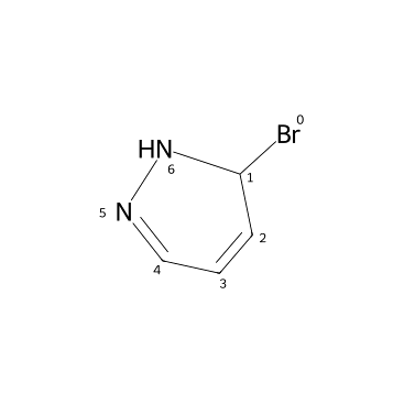 BrC1C=CC=NN1